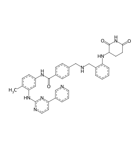 Cc1ccc(NC(=O)c2ccc(CNCc3ccccc3NC3CCC(=O)NC3=O)cc2)cc1Nc1nccc(-c2cccnc2)n1